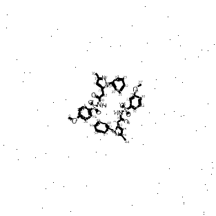 COc1ccc(S(=O)(=O)NC(=O)Cc2cc(C)nn2-c2ccccc2)cc1.COc1cccc(S(=O)(=O)NC(=O)Cc2cc(C)nn2-c2ccccc2)c1